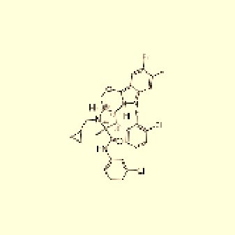 Cc1cc2nn3c(c2cc1Br)OC[C@H]1[C@@H]3[C@H](c2cccc(Cl)c2F)[C@](C)(C(=O)Nc2cccc(Cl)c2)N1CC1CC1